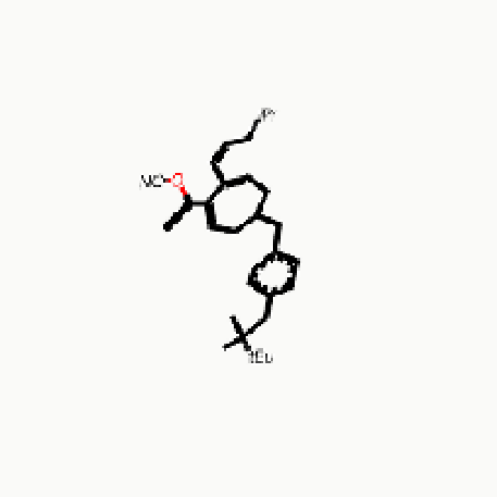 C=C(OC#N)C1=CCC(Cc2ccc(CC(C)(C)C(C)(C)C)cc2)CC=C1/C=C\CC(C)C